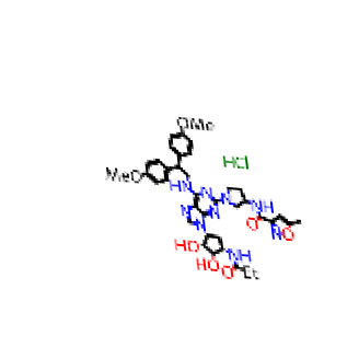 CCC(=O)N[C@H]1C[C@@H](n2cnc3c(NCC(c4ccc(OC)cc4)c4ccc(OC)cc4)nc(N4CCC(NC(=O)c5cc(C)on5)C4)nc32)[C@@H](O)[C@@H]1O.Cl